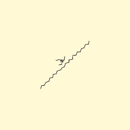 CCCCCCCCCCCCCCCCCCCCCCCCCC.CCN(CC)CC